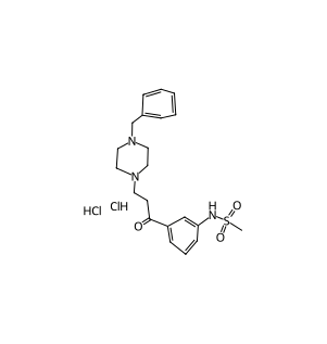 CS(=O)(=O)Nc1cccc(C(=O)CCN2CCN(Cc3ccccc3)CC2)c1.Cl.Cl